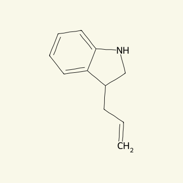 C=CCC1CNc2ccccc21